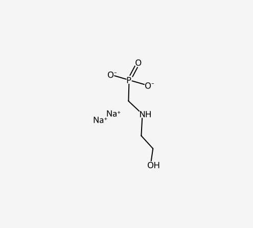 O=P([O-])([O-])CNCCO.[Na+].[Na+]